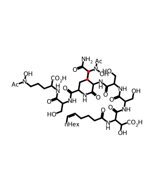 CCCCCC/C=C\CCCC(=O)NC(C(=O)NC(CO)C(=O)NC(CO)C(=O)NC(CCC(N)=O)C(=O)NC(CCCN(O)C(C)=O)C(=O)NC(CO)C(=O)NC(CCCN(O)C(C)=O)C(=O)O)C(O)C(=O)O